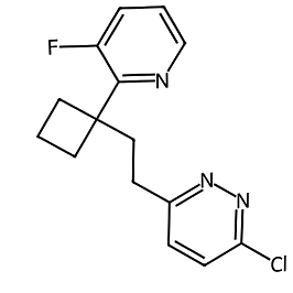 Fc1cccnc1C1(CCc2ccc(Cl)nn2)CCC1